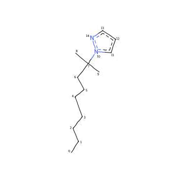 CCCCCCCC(C)(C)n1cccn1